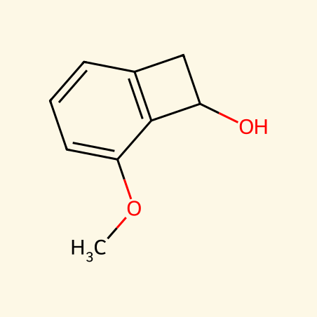 COc1cccc2c1C(O)C2